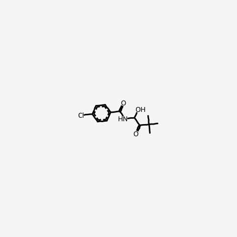 CC(C)(C)C(=O)C(O)NC(=O)c1ccc(Cl)cc1